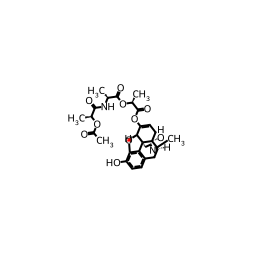 CC(=O)O[C@@H](C)C(=O)N[C@@H](C)C(=O)O[C@@H](C)C(=O)OC1=CC[C@@]2(O)[C@H]3Cc4ccc(O)c5c4[C@@]2(CCN3C)[C@H]1O5